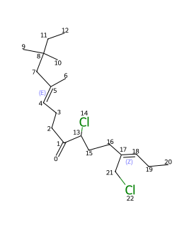 C=C(CC/C=C(\C)CC(C)(C)CC)C(Cl)CC/C(=C/CC)CCl